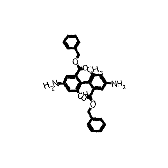 Cc1cc(N)cc(C(=O)OCc2ccccc2)c1-c1c(C)cc(N)cc1C(=O)OCc1ccccc1